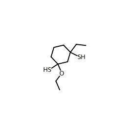 CCOC1(S)CCCC(S)(CC)C1